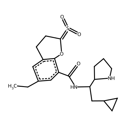 CCc1cc2c(c(C(=O)NC(CC3CC3)C3CCCN3)c1)OC(=S(=O)=O)CC2